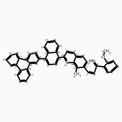 COc1ccccc1C(=N)/C=C\c1ccc2ccc(-c3ccc(-c4ccc5c6ccccc6c6ccccc6c5c4)c4ccccc34)nc2c1C